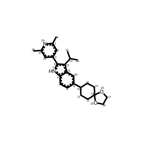 Cc1cc(-c2[nH]c3ccc(C4CCC5(CC4)OCCO5)cc3c2C(C)C)cc(C)n1